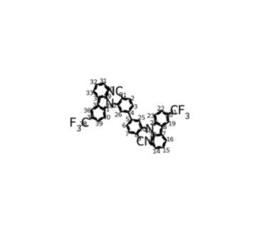 N#Cc1ccc(-c2ccc(C#N)c(-n3c4ccccc4c4cc(C(F)(F)F)ccc43)c2)cc1-n1c2ccccc2c2cc(C(F)(F)F)ccc21